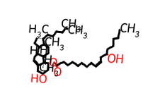 CCCCCC[C@@H](O)C/C=C\CCCCCCCC(=O)OC1C[C@H](O)CC2=CC[C@H]3[C@@H]4CC[C@H]([C@H](C)CCCC(C)C)[C@@]4(C)CC[C@@H]3[C@]21C